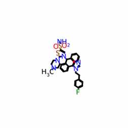 CN1CCN(C2SC(S(N)(=O)=O)=CN2C(c2ccccc2)c2ccccc2-c2cncn2CCc2ccc(F)cc2)CC1